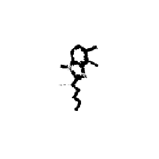 CCCC[C@H](C)c1nc2c(C)c(C)ccc2n1C